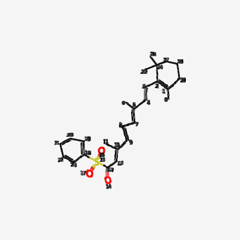 CC1=C(/C=C/C(C)=C/C=C/C(C)=C/C(=O)S(=O)(=O)c2ccccc2)C(C)(C)CCC1